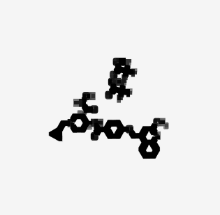 Cc1cc(COc2ccc(C(=O)N[C@@H]3CCN(CC4CC4)C[C@@H]3C(=O)NO)cc2)c2ccccc2n1.O=C(O)C(F)(F)F.O=C(O)C(F)(F)F